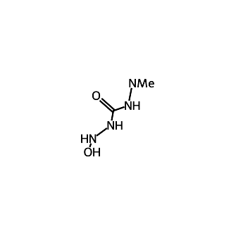 CNNC(=O)NNO